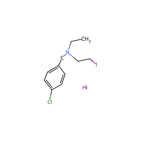 CCN(CCI)Cc1ccc(Cl)cc1.I